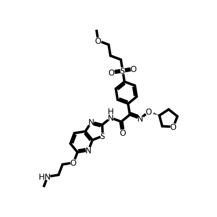 CNCCOc1ccc2nc(NC(=O)/C(=N/O[C@@H]3CCOC3)c3ccc(S(=O)(=O)CCCOC)cc3)sc2n1